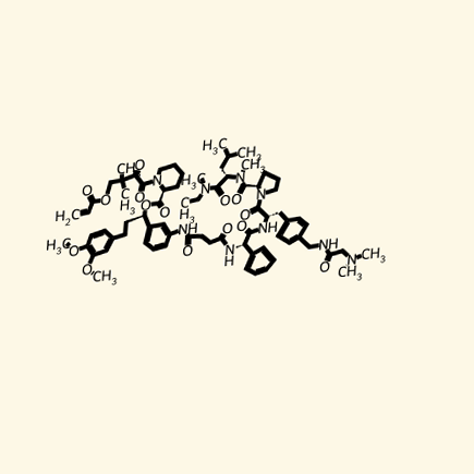 C=CC(=O)OCC(C)(C)C(=O)C(=O)N1CCCC[C@H]1C(=O)O[C@H](CCc1ccc(OC)c(OC)c1)c1cccc(NC(=O)CCC(=O)N[C@H](C(=O)N[C@@H](Cc2ccc(CNC(=O)CN(C)C)cc2)C(=O)N2CCC[C@@H]2C(=O)N(C)[C@@H](CC(C)C)C(=O)N(C)CC)c2ccccc2)c1